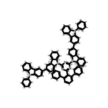 c1ccc(-c2cccc(-c3ccccc3)c2-c2nc(-n3c4ccccc4c4cc(-c5ccc6c(c5)c5ccccc5n6-c5ccccc5)ccc43)nc(-n3c4ccccc4c4cc(-c5ccc6c(c5)c5ccccc5n6-c5ccccc5)ccc43)n2)cc1